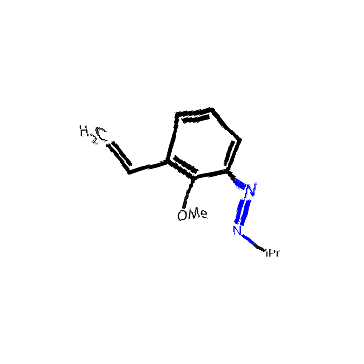 C=Cc1cccc(N=NC(C)C)c1OC